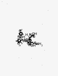 COc1ccc2[nH]c(-[n+]3cc(C)c(OC)c(C)c3CSSCC(NC(=O)CCC(N)C(=O)O)C(=O)NC(CCCCN)C(=O)O)nc2c1